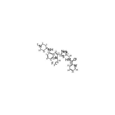 CN1CCC(Nc2cccc3c2cc(-c2nnc(CNC(=O)c4ccccn4)s2)n3CC(F)(F)F)CC1